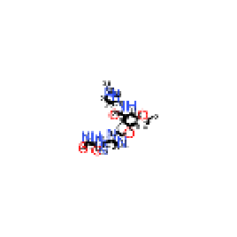 CC(C)Oc1cc(Oc2cnc(-c3noc(C(N)=O)n3)cn2)cc(C(=O)Nc2ccn(C)n2)c1